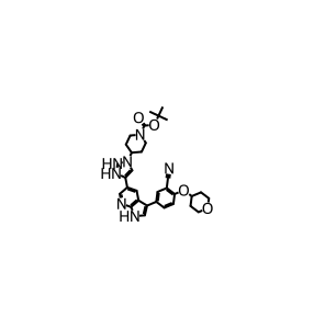 CC(C)(C)OC(=O)N1CCC(N2C=C(c3cnc4[nH]cc(-c5ccc(OC6CCOCC6)c(C#N)c5)c4c3)NN2)CC1